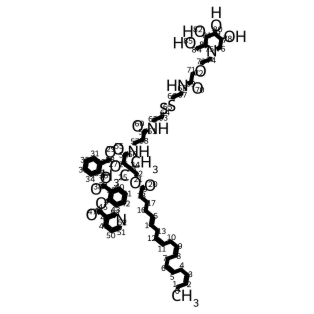 CC/C=C\C/C=C\C/C=C\C/C=C\C/C=C/CCCC(=O)OCC(C)(C)[C@@H](OC(=O)c1ccccc1OC(=O)c1ccccc1OC(=O)c1cccnc1)C(=O)NCCC(=O)NCCSSCCNC(=O)COCCN1C[C@@H](O)C(O)[C@H](O)C1CO